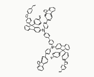 C=Cc1ccc(Oc2ccc(C3(c4ccc(F)cc4)c4ccccc4-c4ccc(N(c5ccc(-c6ccc(N(c7ccc(-c8ccc9c(c8)oc8ccccc89)cc7)c7ccc8c(c7)C(c7ccc(F)cc7)(c7ccc(Oc9ccc(C=C)cc9)cc7)c7ccccc7-8)cc6)cc5)c5ccc(-c6ccc7c(c6)oc6ccccc67)cc5)cc43)cc2)cc1